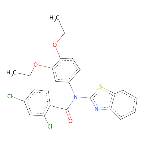 CCOc1ccc(N(C(=O)c2ccc(Cl)cc2Cl)c2nc3ccccc3s2)cc1OCC